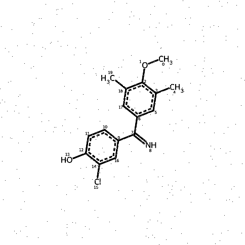 COc1c(C)cc(C(=N)c2ccc(O)c(Cl)c2)cc1C